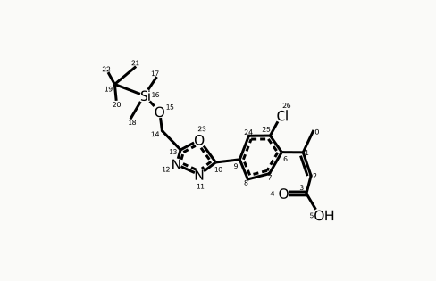 C/C(=C/C(=O)O)c1ccc(-c2nnc(CO[Si](C)(C)C(C)(C)C)o2)cc1Cl